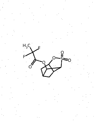 CC(F)(F)C(=O)OC1C2CC3OS(=O)(=O)C1C3C2